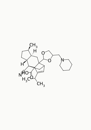 CC(C)C1=CC2CC3(C#N)[C@@H]4CC[C@@H](C)[C@H]4CC2(C2OCC(CN4CCCCC4)O2)C13C(=O)O